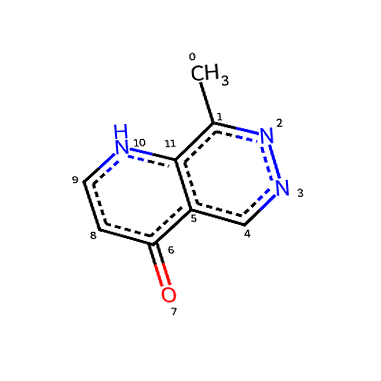 Cc1nncc2c(=O)cc[nH]c12